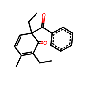 CCC1=C(C)C=CC(CC)(C(=O)c2ccccc2)C1=O